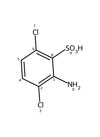 Nc1c(Cl)ccc(Cl)c1S(=O)(=O)O